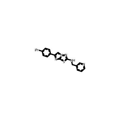 CC(C)c1ccc(-c2cn3nc(NCc4cccnc4)sc3n2)cc1